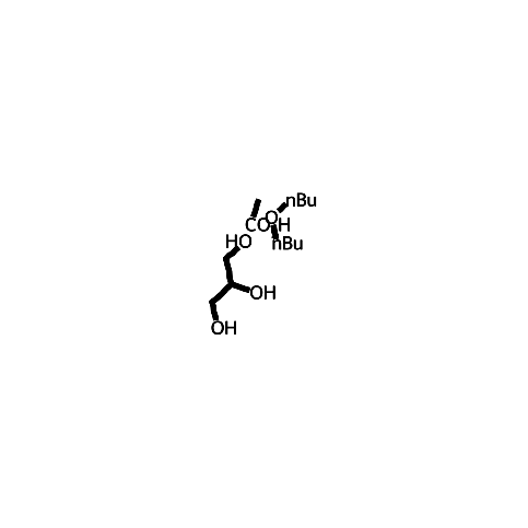 CC(=O)O.CCCCOCCCC.OCC(O)CO